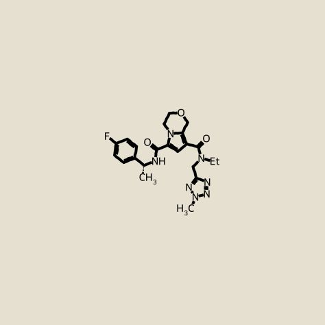 CCN(Cc1nnn(C)n1)C(=O)c1cc(C(=O)N[C@H](C)c2ccc(F)cc2)n2c1COCC2